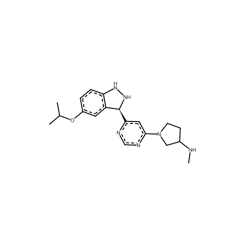 CNC1CCN(c2cc([C@@H]3NNc4ccc(OC(C)C)cc43)ncn2)C1